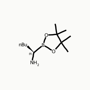 CCCC[C@H](N)B1OC(C)(C)C(C)(C)O1